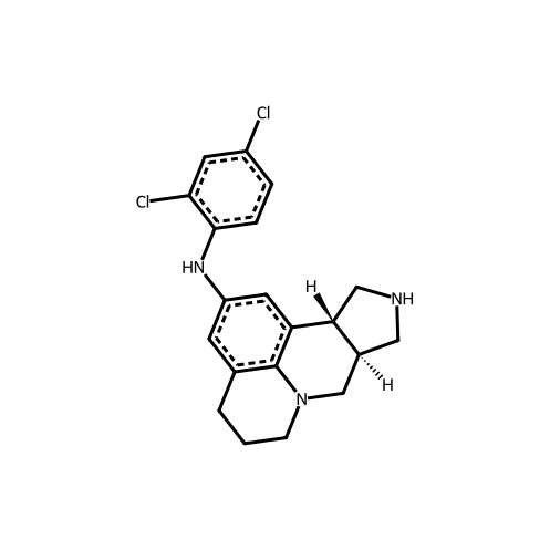 Clc1ccc(Nc2cc3c4c(c2)[C@@H]2CNC[C@H]2CN4CCC3)c(Cl)c1